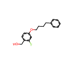 OCc1ccc(OCCCCc2ccccc2)cc1F